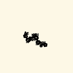 CC(=O)c1ccc(-c2cncc3[nH]c(-c4n[nH]c5ccc(-c6cncc(NC(=O)C7CCCC7)c6)cc45)cc23)s1